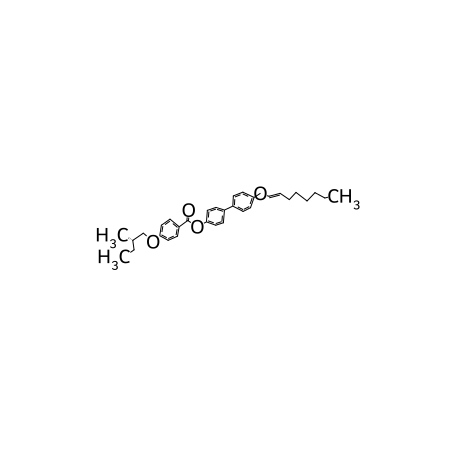 CCCCCC/C=C/Oc1ccc(-c2ccc(OC(=O)c3ccc(OC[C@@H](C)CC)cc3)cc2)cc1